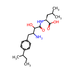 CCC(C)c1ccc(CC(N)C(O)C(=O)N[C@@H](CC(C)C)C(=O)O)cc1